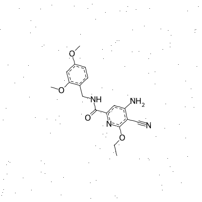 CCOc1nc(C(=O)NCc2ccc(OC)cc2OC)cc(N)c1C#N